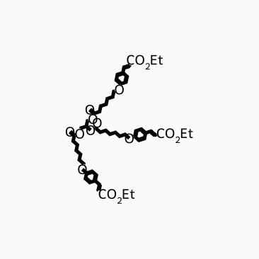 CCOC(=O)C=Cc1ccc(OCCCCCCC(=O)OCC(COC(=O)CCCCCCOc2ccc(C=CC(=O)OCC)cc2)OC(=O)CCCCCCOc2ccc(C=CC(=O)OCC)cc2)cc1